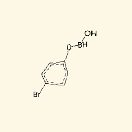 OBOc1ccc(Br)cc1